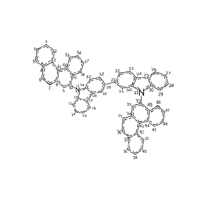 c1ccc2c(c1)ccc1cc(-n3c4ccccc4c4cc(-c5ccc6c7ccccc7n(-c7cc8ccc9ccccc9c8c8ccccc78)c6c5)ccc43)c3ccccc3c12